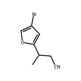 CC(CC#N)c1cc(Br)co1